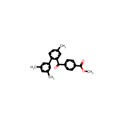 COC(=O)c1ccc(C(=O)c2cc(C)ccc2-c2cc(C)cc(C)c2)cc1